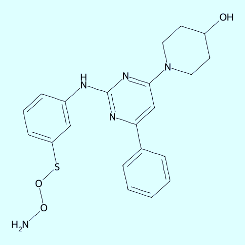 NOOSc1cccc(Nc2nc(-c3ccccc3)cc(N3CCC(O)CC3)n2)c1